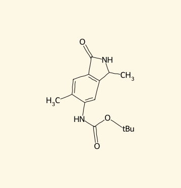 Cc1cc2c(cc1NC(=O)OC(C)(C)C)C(C)NC2=O